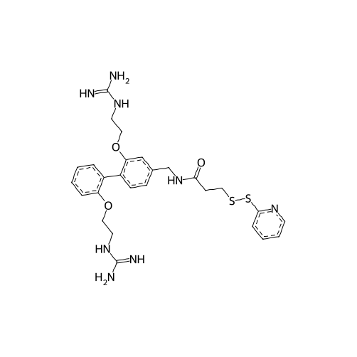 N=C(N)NCCOc1ccccc1-c1ccc(CNC(=O)CCSSc2ccccn2)cc1OCCNC(=N)N